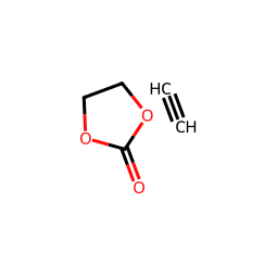 C#C.O=C1OCCO1